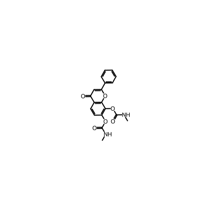 CNC(=O)Oc1ccc2c(=O)cc(-c3ccccc3)oc2c1OC(=O)NC